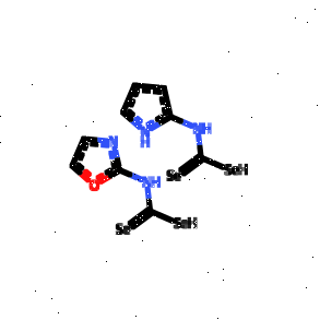 [Se]=C([SeH])Nc1ccc[nH]1.[Se]=C([SeH])Nc1ncco1